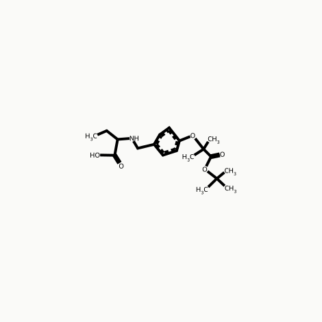 CCC(NCc1ccc(OC(C)(C)C(=O)OC(C)(C)C)cc1)C(=O)O